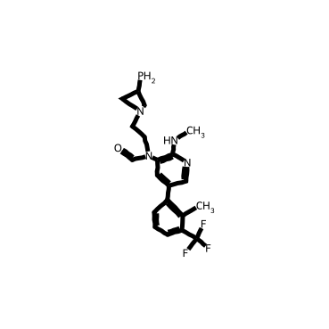 CNc1ncc(-c2cccc(C(F)(F)F)c2C)cc1N(C=O)CCN1CC(P)C1